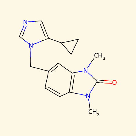 Cn1c(=O)n(C)c2cc(Cn3cncc3C3CC3)ccc21